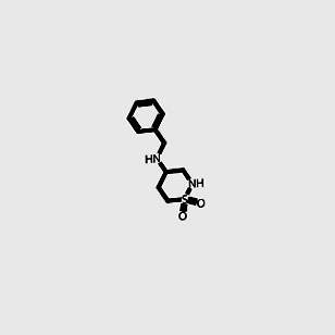 O=S1(=O)CCC(NCc2ccccc2)CN1